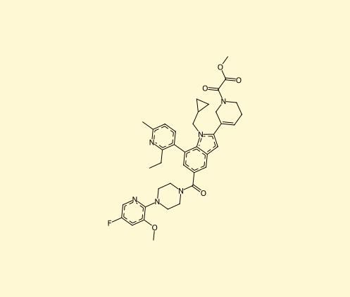 CCc1nc(C)ccc1-c1cc(C(=O)N2CCN(c3ncc(F)cc3OC)CC2)cc2cc(C3=CCCN(C(=O)C(=O)OC)C3)n(CC3CC3)c12